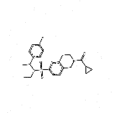 CCN(C(C)c1ccc(F)cc1)S(=O)(=O)c1ccc2c(n1)CCN(C(=O)C1CC1)C2